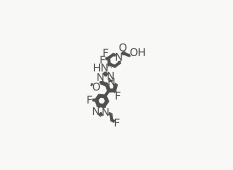 COc1nc(N[C@@H]2CCN(C(=O)CO)CC2(F)F)nn2cc(F)c(-c3cc(F)c4ncn(CCF)c4c3)c12